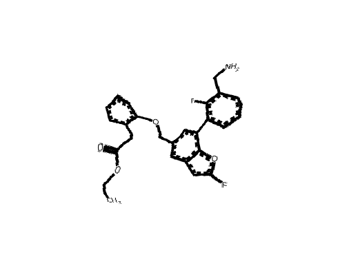 CCOC(=O)Cc1ccccc1OCc1cc(-c2cccc(CN)c2F)c2oc(F)cc2c1